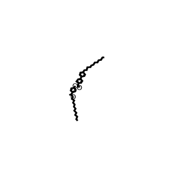 CCCCCCCCCCCCOC(C)c1ccc(OC(=O)c2ccc(-c3ccc(CCCCCCCCCCCC)cc3)cc2)cc1